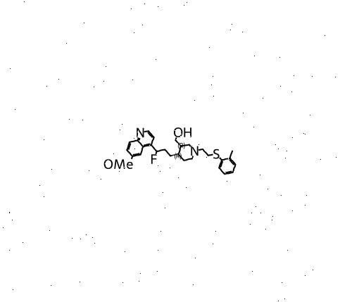 COc1ccc2nccc(C(F)CC[C@@H]3CCN(CCSc4ccccc4C)C[C@@H]3CO)c2c1